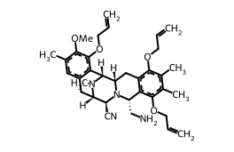 C=CCOc1c(C)c(C)c(OCC=C)c2c1C[C@H]1[C@H]3c4c(cc(C)c(OC)c4OCC=C)C[C@@H]([C@H](C#N)N1[C@H]2CN)N3C